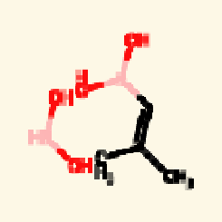 CC(C)=CB(O)O.OBO